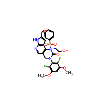 COc1cc(OC)c(F)c(N2Cc3cnc4[nH]c(C=O)cc4c3[N+](CCO)(S(=O)(=O)c3ccccc3)C2=O)c1F